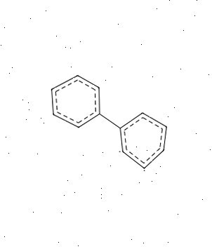 [c]1[c]c(-c2ccccc2)ccc1